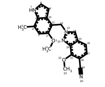 COc1cc(C)c2[nH]ccc2c1Cn1cc2ccc(C#N)c(OC)c2n1